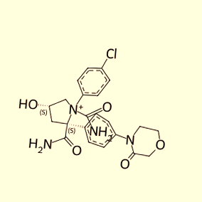 NC(=O)[C@@]1(c2ccc(N3CCOCC3=O)cc2)C[C@H](O)C[N+]1(C(N)=O)c1ccc(Cl)cc1